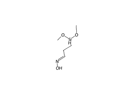 CO[SiH](CCC=NO)OC